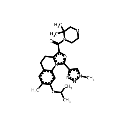 Cc1cc2c(cc1OC(C)C)-n1c(-c3cn(C)nn3)nc(C(=O)N3CCOCC3(C)C)c1CC2